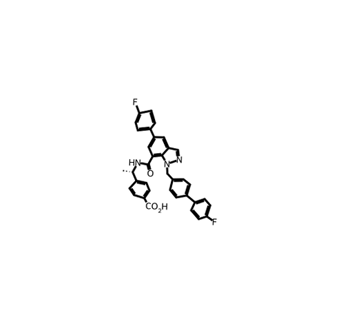 C[C@H](NC(=O)c1cc(-c2ccc(F)cc2)cc2cnn(Cc3ccc(-c4ccc(F)cc4)cc3)c12)c1ccc(C(=O)O)cc1